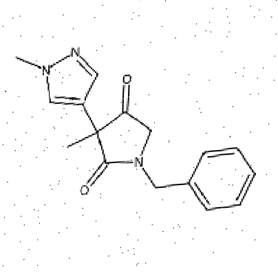 Cn1cc(C2(C)C(=O)CN(Cc3ccccc3)C2=O)cn1